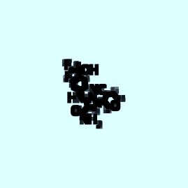 CC(O)(c1ccc(Nc2nn(C3COCCC3C#N)cc2C(N)=O)cc1)C(F)F